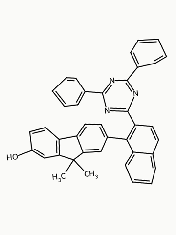 CC1(C)c2cc(O)ccc2-c2ccc(-c3c(-c4nc(-c5ccccc5)nc(-c5ccccc5)n4)ccc4ccccc34)cc21